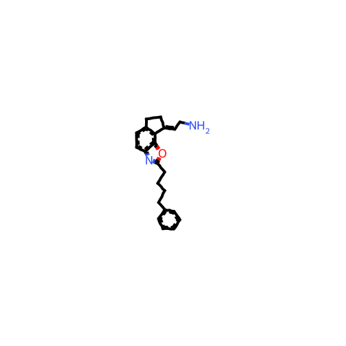 NCC=C1CCc2ccc3nc(CCCCc4ccccc4)oc3c21